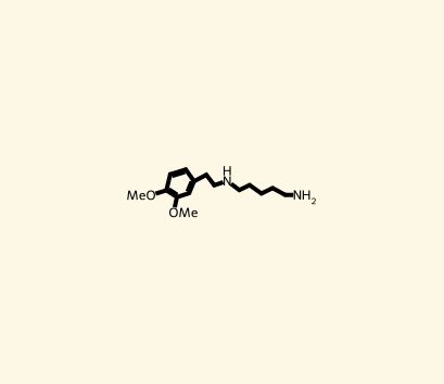 COc1ccc(CCNCCCCCN)cc1OC